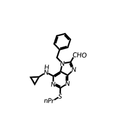 CCCSc1nc(NC2CC2)c2c(n1)nc(C=O)n2Cc1ccccc1